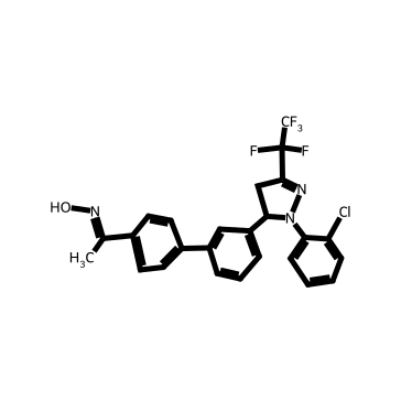 C/C(=N\O)c1ccc(-c2cccc(C3CC(C(F)(F)C(F)(F)F)=NN3c3ccccc3Cl)c2)cc1